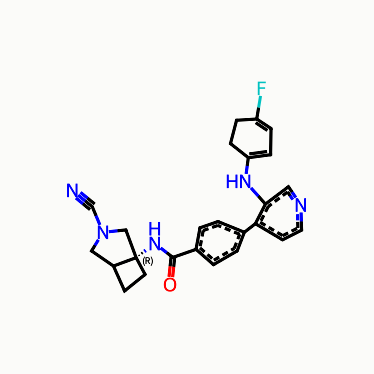 N#CN1CC2CC[C@]2(NC(=O)c2ccc(-c3ccncc3NC3=CC=C(F)CC3)cc2)C1